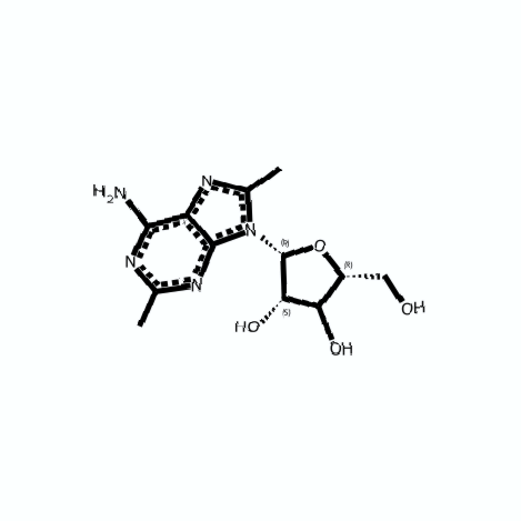 Cc1nc(N)c2nc(C)n([C@@H]3O[C@H](CO)C(O)[C@@H]3O)c2n1